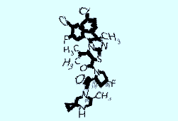 CC(C)C1=C(C(=O)N2C[C@H](F)C[C@H]2C(=O)N2CC3(CC3)NC[C@H]2C)SC2=N[C@@](C)(c3ccc(Cl)cc3)[C@@H](c3ccc(Cl)c(F)c3)N21